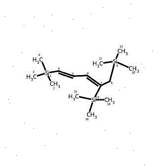 C[Si](C)(C)C=CC=C(C[Si](C)(C)C)[Si](C)(C)C